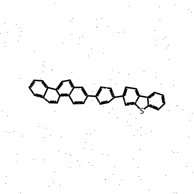 c1ccc2c(c1)ccc1c3ccc(-c4ccc(-c5ccc6c(c5)sc5ccccc56)cc4)cc3ccc21